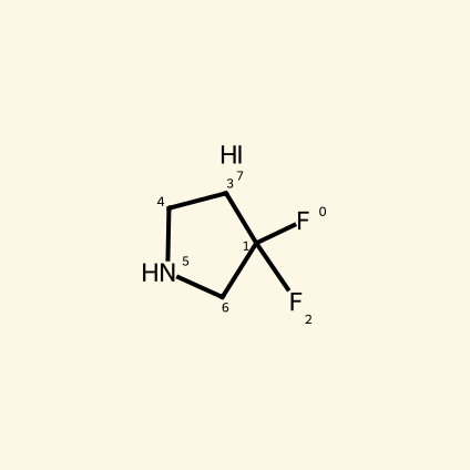 FC1(F)CCNC1.I